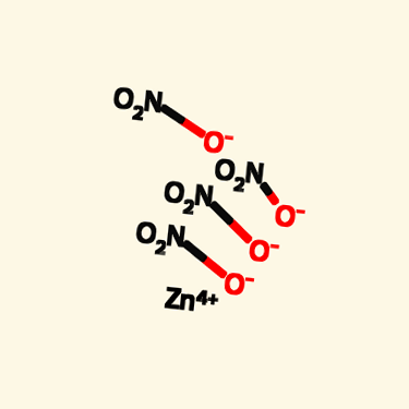 O=[N+]([O-])[O-].O=[N+]([O-])[O-].O=[N+]([O-])[O-].O=[N+]([O-])[O-].[Zn+4]